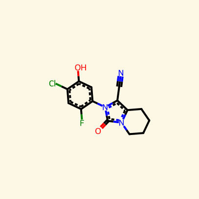 N#Cc1c2n(c(=O)n1-c1cc(O)c(Cl)cc1F)CCCC2